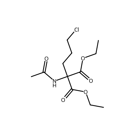 CCOC(=O)C(CCCCl)(NC(C)=O)C(=O)OCC